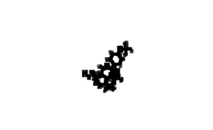 CC(C)(C)OC1CCC(C2(N)N=Cc3c(N)ncc(C(F)(F)F)c3N2)CC1